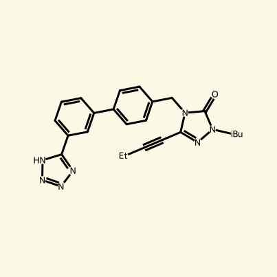 CCC#Cc1nn(C(C)CC)c(=O)n1Cc1ccc(-c2cccc(-c3nnn[nH]3)c2)cc1